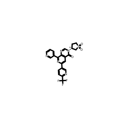 O=c1c2cc(-c3ccc(C(F)(F)F)nc3)nc(-c3cccnc3)c2ncn1[C@@H]1CCS(=O)(=O)C1